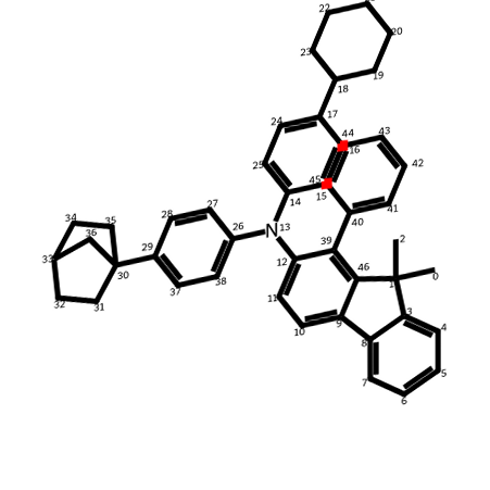 CC1(C)c2ccccc2-c2ccc(N(c3ccc(C4CCCCC4)cc3)c3ccc(C45CCC(CC4)C5)cc3)c(-c3ccccc3)c21